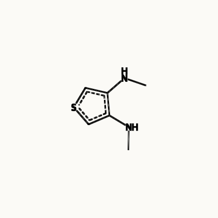 CNc1cscc1NC